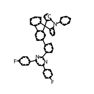 Fc1ccc(-c2cc(-c3ccc(F)cc3)nc(-c3cccc(-c4ccc5c(c4)C4(c6ccccc6-5)c5ccccc5N(c5ccccc5)c5ccccc54)c3)n2)cc1